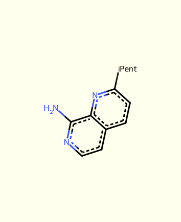 CCCC(C)c1ccc2ccnc(N)c2n1